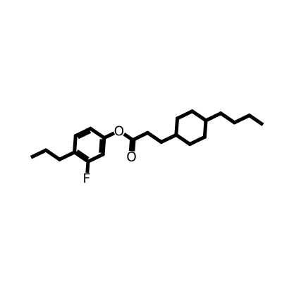 CCCCC1CCC(CCC(=O)Oc2ccc(CCC)c(F)c2)CC1